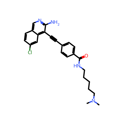 CN(C)CCCCCNC(=O)c1ccc(C#Cc2c(N)ncc3ccc(Cl)cc23)cc1